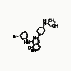 CC(CO)NC1CCN(c2nc(Nc3cccc(Br)c3)c3c(=O)[nH]ccc3n2)CC1